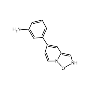 Nc1cccc(C2=CC3=CNON3C=C2)c1